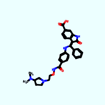 CN(C)C1CCN(CCONC(=O)c2ccc(N/C(=C3/C(=O)Nc4cc(C(=O)O)ccc43)c3ccccc3)cc2)C1